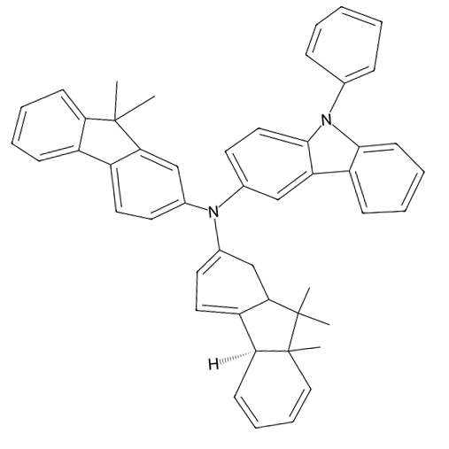 CC1(C)c2ccccc2-c2ccc(N(C3=CC=C4C(C3)C(C)(C)C3(C)C=CC=C[C@@H]43)c3ccc4c(c3)c3ccccc3n4-c3ccccc3)cc21